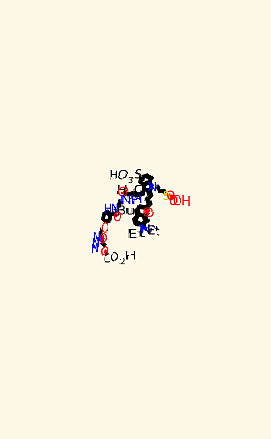 CC[N+](CC)=c1ccc2c(C(C)(C)C)cc(/C=C/C=C3/N(CCCSOOO)c4ccc(S(=O)(=O)O)cc4C3(C)CCCC(=O)NCCNC(=O)c3cccc(OCC(N=[N+]=[N-])OCCOCC(=O)O)c3)oc-2c1